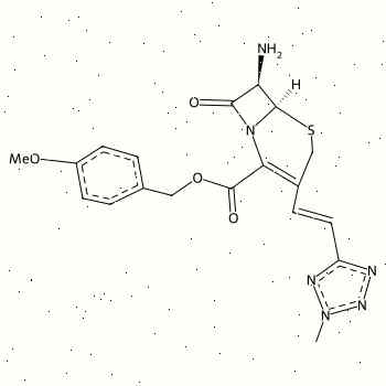 COc1ccc(COC(=O)C2=C(/C=C/c3nnn(C)n3)CS[C@@H]3[C@H](N)C(=O)N23)cc1